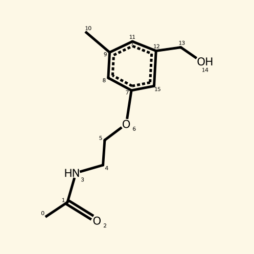 CC(=O)NCCOc1cc(C)[c]c(CO)c1